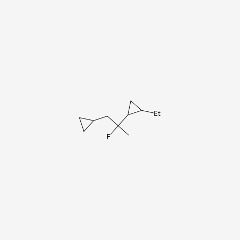 CCC1CC1C(C)(F)CC1CC1